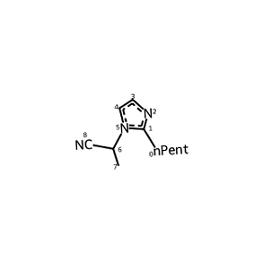 CCCCCc1nccn1C(C)C#N